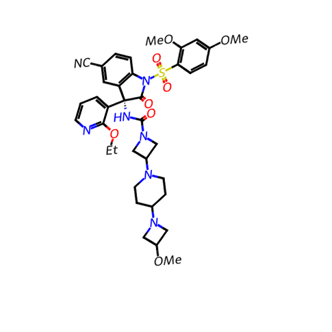 CCOc1ncccc1[C@]1(NC(=O)N2CC(N3CCC(N4CC(OC)C4)CC3)C2)C(=O)N(S(=O)(=O)c2ccc(OC)cc2OC)c2ccc(C#N)cc21